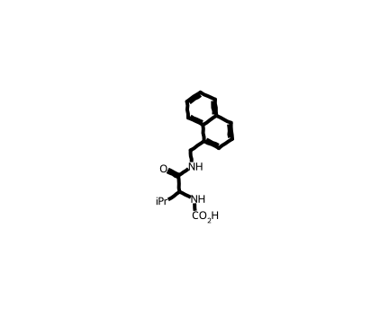 CC(C)C(NC(=O)O)C(=O)NCc1cccc2ccccc12